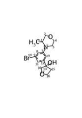 CC1COCCN1c1cc(Br)cc(C2(O)CCOC2)c1